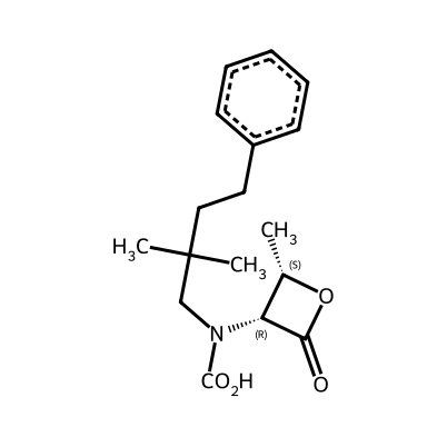 C[C@@H]1OC(=O)[C@@H]1N(CC(C)(C)CCc1ccccc1)C(=O)O